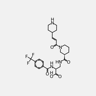 O=C(NC(CNC(=O)[C@@H]1CCCN(C(=O)/C=C/C2CCNCC2)C1)C(=O)O)c1ccc(C(F)(F)F)cc1